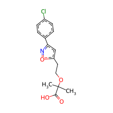 CC(C)(OCCc1cc(-c2ccc(Cl)cc2)no1)C(=O)O